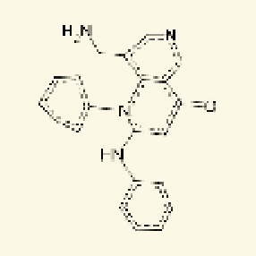 NCc1cncc2c(=O)cc(Nc3ccccc3)n(-c3ccccc3)c12